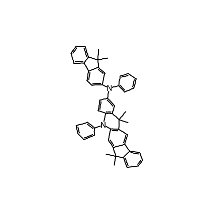 CC1(C)c2ccccc2-c2ccc(N(c3ccccc3)c3ccc4c(c3)C(C)(C)c3cc5c(cc3N4c3ccccc3)C(C)(C)c3ccccc3-5)cc21